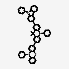 CC1(C)c2cc(-c3ccc4c(c3)Sc3ccccc3N4c3ccccc3)ccc2N(c2ccccc2)c2ccc(-c3ccc4c(c3)c3ccccc3n4-c3ccccc3)cc21